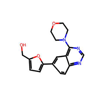 OCc1ccc(-c2ccc3ncnc(N4CCOCC4)c3c2)o1